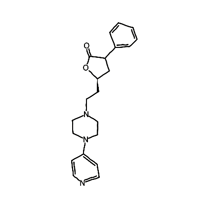 O=C1O[C@H](CCN2CCN(c3ccncc3)CC2)CC1c1ccccc1